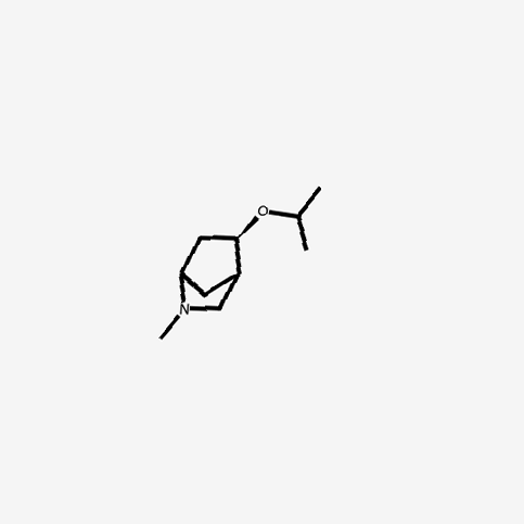 CC(C)O[C@@H]1CC2CC1CN2C